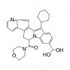 O=C(C1Cc2c(ccc3ncccc23)-c2c(C3CCCCC3)c3ccc(C(O)O)cc3n21)N1CCOCC1